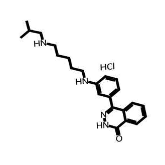 CC(C)CNCCCCCNc1cccc(-c2n[nH]c(=O)c3ccccc23)c1.Cl